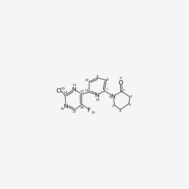 O=C1CCCCN1c1cccc(-c2nc(Cl)ncc2F)n1